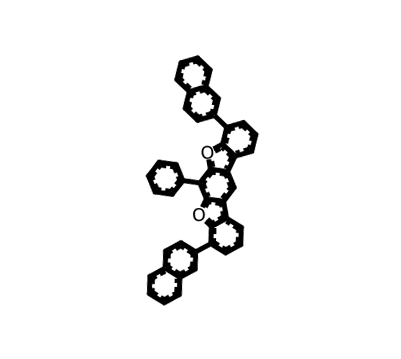 c1ccc(-c2c3oc4c(-c5ccc6ccccc6c5)cccc4c3cc3c2oc2c(-c4ccc5ccccc5c4)cccc23)cc1